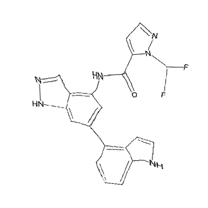 O=C(Nc1cc(-c2cccc3[nH]ccc23)cc2[nH]ncc12)c1ccnn1C(F)F